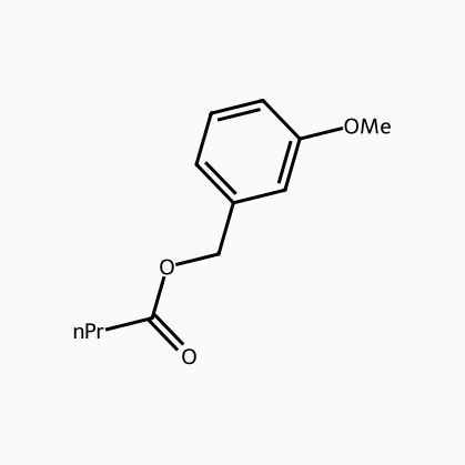 CCCC(=O)OCc1cccc(OC)c1